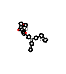 C1=CCCC(c2ccc(N(c3ccc(-c4ccc(-c5cccc6c5C5(c7ccccc7Oc7ccccc75)c5ccccc5-6)cc4)cc3)c3ccc(-c4cccc5c4oc4ccccc45)cc3)cc2)=C1